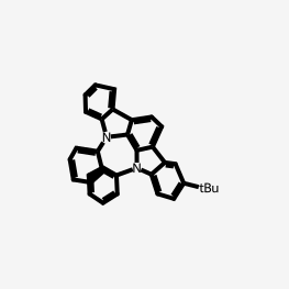 CC(C)(C)c1ccc2c(c1)c1ccc3c4ccccc4n(-c4ccccc4)c3c1n2-c1ccccc1